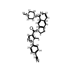 Cc1c(C(=O)N2CCc3cc4ccnc(N5CCN(C)CC5)c4cc32)cnn1-c1ccc(C#N)cc1